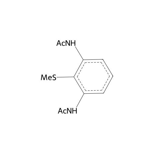 CSc1c(NC(C)=O)cccc1NC(C)=O